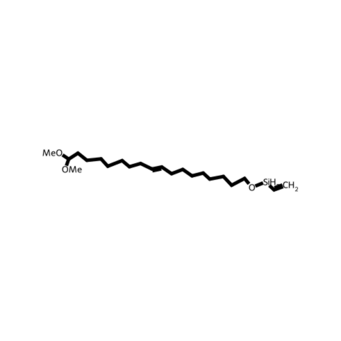 C=C[SiH2]OCCCCCCCCC=CCCCCCCCC(OC)OC